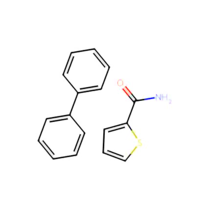 NC(=O)c1cccs1.c1ccc(-c2ccccc2)cc1